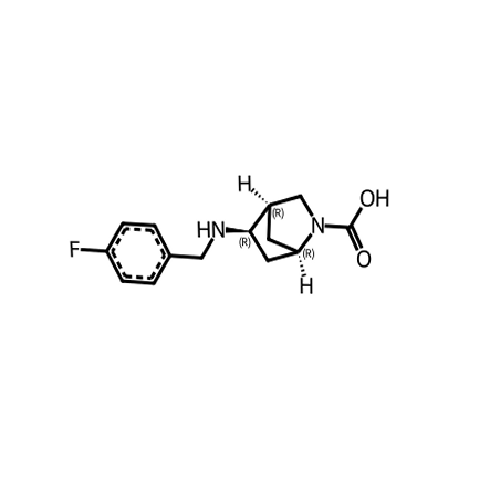 O=C(O)N1C[C@H]2C[C@@H]1C[C@H]2NCc1ccc(F)cc1